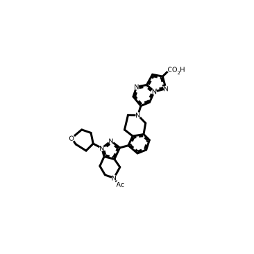 CC(=O)N1CCc2c(c(-c3cccc4c3CCN(c3cnc5cc(C(=O)O)nn5c3)C4)nn2C2CCOCC2)C1